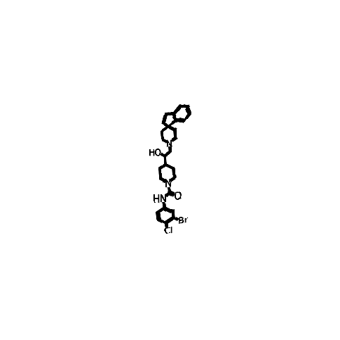 O=C(Nc1ccc(Cl)c(Br)c1)N1CCC(C(O)CN2CCC3(C=Cc4ccccc43)CC2)CC1